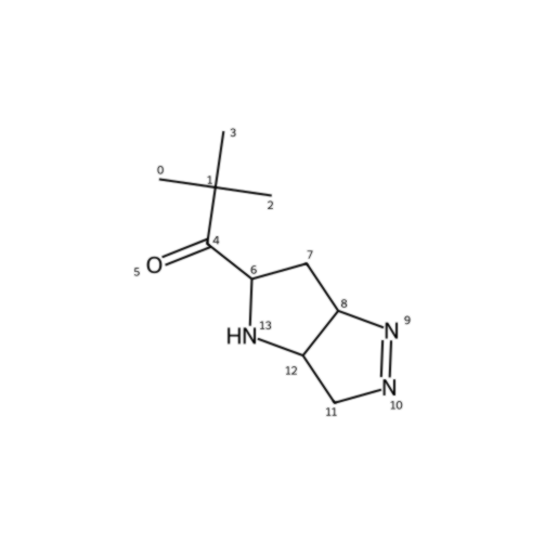 CC(C)(C)C(=O)C1CC2N=NCC2N1